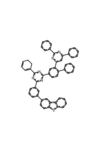 C1=CCCC(c2nc(-c3cccc(-c4ccc5sc6ccccc6c5c4)c3)nc(-c3ccc(-c4ccccc4)c(-c4cc(-c5ccccc5)nc(-c5ccccc5)n4)c3)n2)=C1